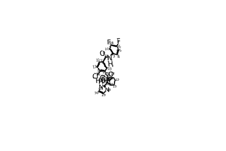 O=C(Nc1ccc(F)c(F)c1)c1ccc(Cl)c(S(=O)(=O)[C@@H]2C3CCC2[C@@](O)(c2ncc[nH]2)C3)c1